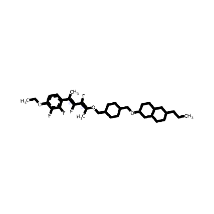 CCCC1CCC2CC(OCC3CCC(CO/C(C)=C(F)/C(F)=C(\C)c4ccc(OCC)c(F)c4F)CC3)CCC2C1